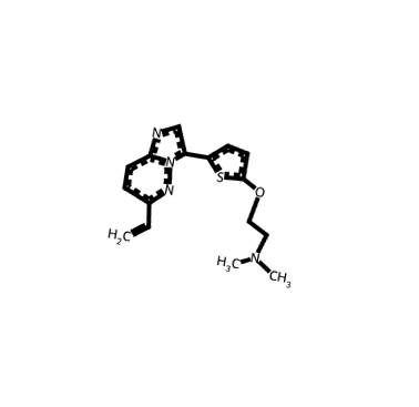 C=Cc1ccc2ncc(-c3ccc(OCCN(C)C)s3)n2n1